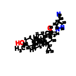 C[C@@]1(O)CC[C@H]2[C@H](CC[C@@H]3[C@@H]2CC[C@@]2(C)[C@H]3[C@H](C3CC3)C[C@@H]2C(=O)Cn2cc(C#N)cn2)C1